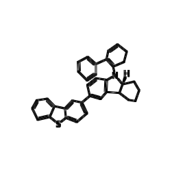 C1=CC(c2ccccc2)=C(N2c3ccc(-c4ccc5sc6ccccc6c5c4)cc3C3CCCC[C@H]32)CC1